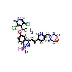 C[C@@H](Oc1ccc2c(c1)c(/C=C/c1ccc(CN3CCOCC3)nc1)nn2PI)c1c(Cl)cncc1Cl